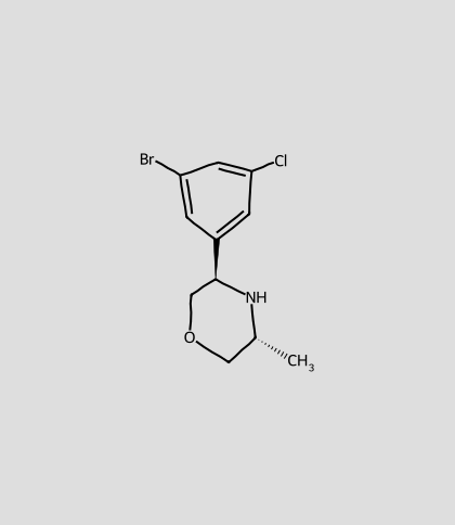 C[C@@H]1COC[C@@H](c2cc(Cl)cc(Br)c2)N1